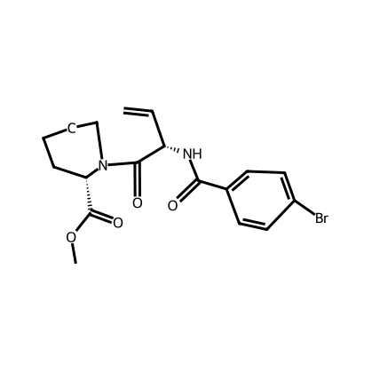 C=C[C@H](NC(=O)c1ccc(Br)cc1)C(=O)N1CCCC[C@H]1C(=O)OC